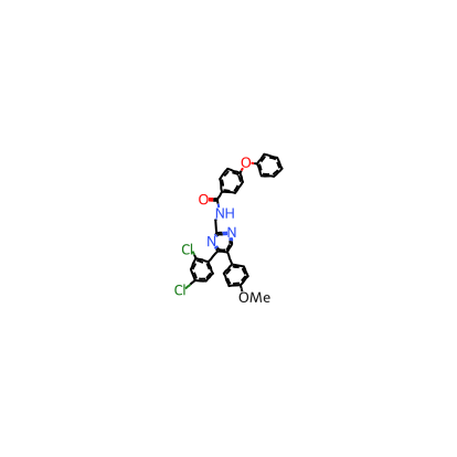 COc1ccc(-c2cnc(CNC(=O)c3ccc(Oc4ccccc4)cc3)nc2-c2ccc(Cl)cc2Cl)cc1